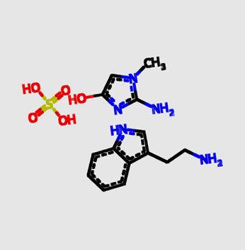 Cn1cc(O)nc1N.NCCc1c[nH]c2ccccc12.O=S(=O)(O)O